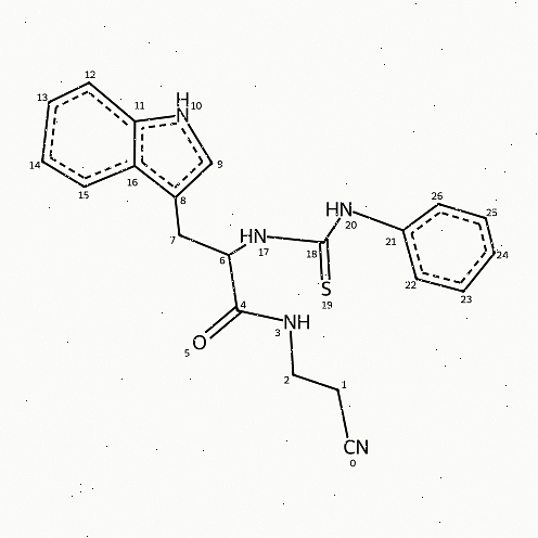 N#CCCNC(=O)C(Cc1c[nH]c2ccccc12)NC(=S)Nc1ccccc1